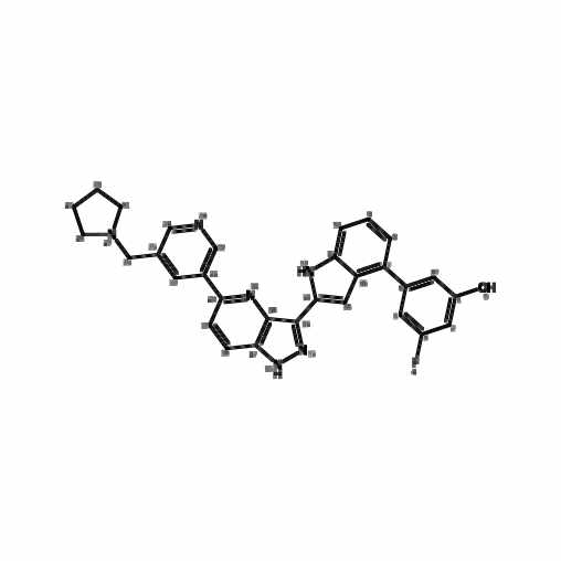 Oc1cc(F)cc(-c2cccc3[nH]c(-c4n[nH]c5ccc(-c6cncc(CN7CCCC7)c6)nc45)cc23)c1